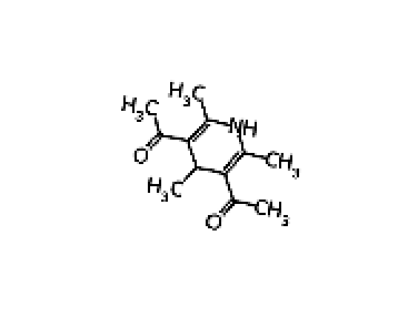 CC(=O)C1=C(C)NC(C)=C(C(C)=O)C1C